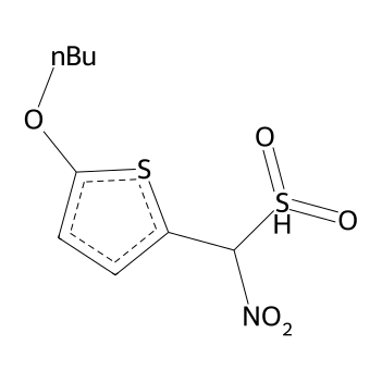 CCCCOc1ccc(C([N+](=O)[O-])[SH](=O)=O)s1